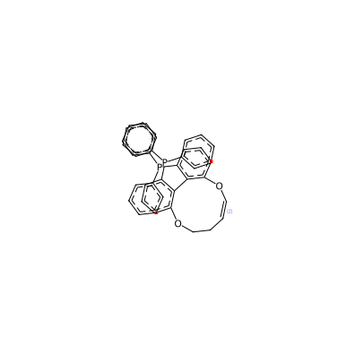 C1=C\Oc2cccc(P(c3ccccc3)c3ccccc3)c2-c2c(cccc2P(c2ccccc2)c2ccccc2)OCC/1